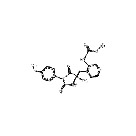 CCCCOC(=O)Nc1cnccc1CC1(C)NC(=O)N(c2ccc(SC(F)(F)F)cc2)C1=O